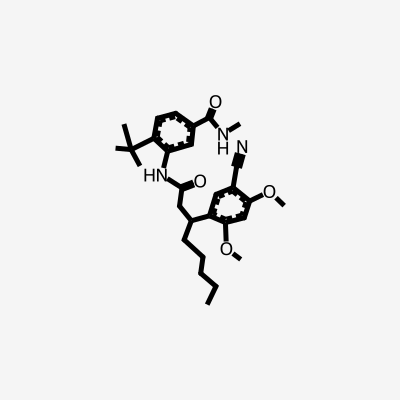 CCCCCC(CC(=O)Nc1cc(C(=O)NC)ccc1C(C)(C)C)c1cc(C#N)c(OC)cc1OC